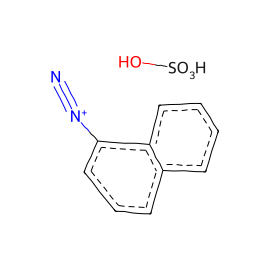 N#[N+]c1cccc2ccccc12.O=S(=O)(O)O